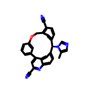 Cc1cncn1[C@@H]1c2ccc(C#N)c(c2)COc2cccc(c2)-c2cc(C#N)nc3ccc1cc23